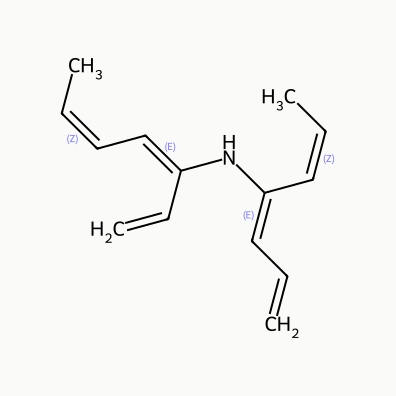 C=C/C=C(\C=C/C)N/C(C=C)=C/C=C\C